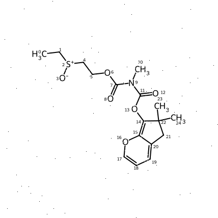 CC[S+]([O-])CCOC(=O)N(C)C(=O)OC1=C2OC=CC=C2CC1(C)C